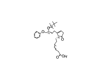 CC(C)(C)[Si](C)(C)O[C@@H](CCC1=CCC(=O)[C@@H]1CCC=C=CCC(=O)O)COc1ccccc1